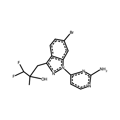 CC(O)(Cc1nn(-c2ccnc(N)n2)c2cc(Br)ccc12)C(F)F